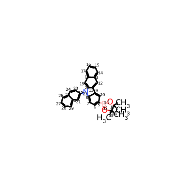 CC1(C)OB(c2ccc3c(c2)c2cc4ccccc4cc2n3-c2ccc3ccccc3c2)OC1(C)C